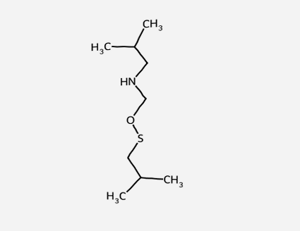 CC(C)CNCOSCC(C)C